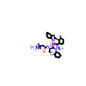 CCN(C(=O)c1cccc(C)c1-c1cc2ccccc2[nH]1)N1C(=O)C(NC(=O)CC(C)(C)N)CCc2ccccc21